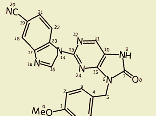 COc1ccc(Cn2c(=O)[nH]c3cnc(-n4cnc5cc(C#N)ccc54)nc32)cc1